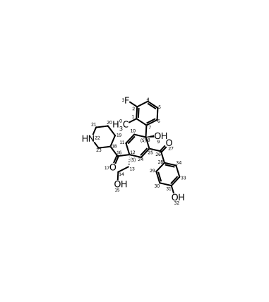 Cc1c(F)cccc1[C@@]1(O)C=C[C@](CCO)(C(=O)C2CCCNC2)C=C1C(=O)c1ccc(O)cc1